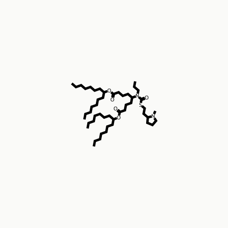 CCCCCCCC(CCCCCCC)OC(=O)CCCC(CCCC(=O)OC(CCCCCCC)CCCCCCC)N(CCC)C(=O)SCCC1CCCN1C